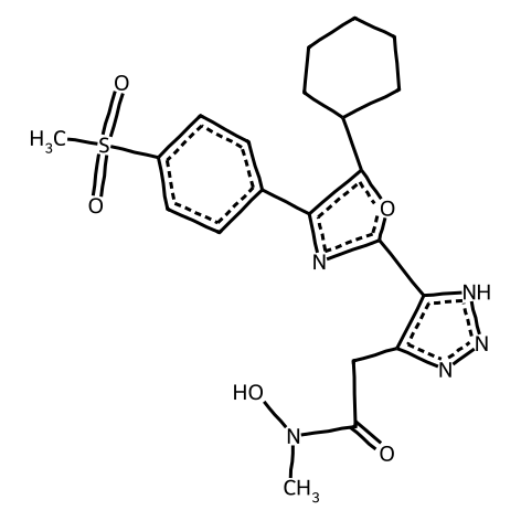 CN(O)C(=O)Cc1nn[nH]c1-c1nc(-c2ccc(S(C)(=O)=O)cc2)c(C2CCCCC2)o1